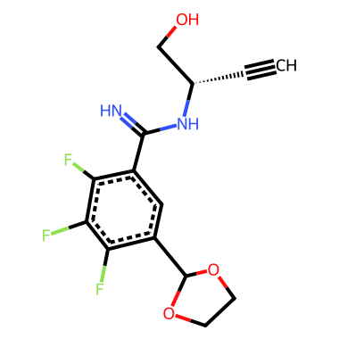 C#C[C@@H](CO)NC(=N)c1cc(C2OCCO2)c(F)c(F)c1F